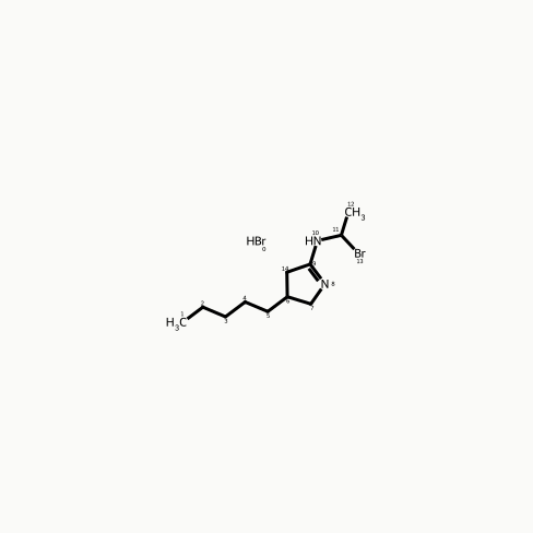 Br.CCCCCC1CN=C(NC(C)Br)C1